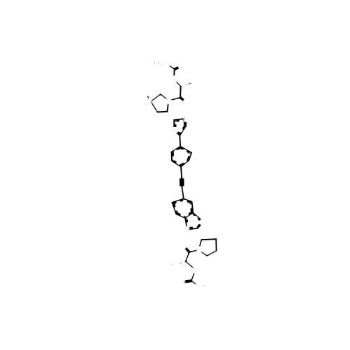 COC(=O)N[C@H](C(=O)N1C[Si](C)(C)C[C@H]1c1ncc(-c2ccc(C#Cc3ccc4[nH]c([C@@H]5CCCN5C(=O)[C@@H](NC(=O)OC)C(C)C)nc4c3)cc2)[nH]1)C(C)C